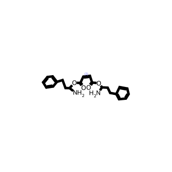 NC(CCc1ccccc1)OC(=O)/C=C\C(=O)OC(N)CCc1ccccc1